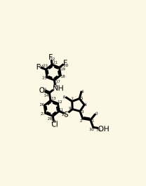 C/C(=C\C1CC(C)C(C)C1Sc1cc(C(=O)Nc2cc(F)c(F)c(F)c2)ccc1Cl)CO